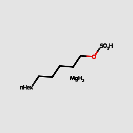 CCCCCCCCCCCOS(=O)(=O)O.[MgH2]